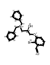 O=Cc1cccc(OC[C@H](O)CN(Cc2ccccc2)Cc2ccccc2)c1Br